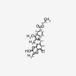 C=CCOC(=O)c1ccc2c(c1)c(C)c(C)n2Cc1ccc(O[C@H](C)C(=O)O)c(Cl)c1